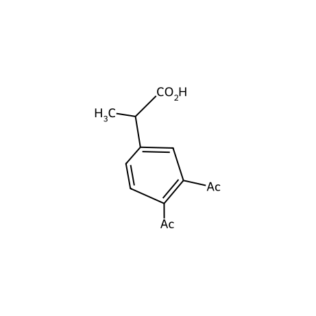 CC(=O)c1ccc(C(C)C(=O)O)cc1C(C)=O